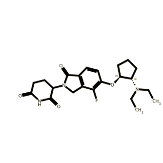 CCN(CC)[C@H]1CCC[C@@H]1Oc1ccc2c(c1F)CN(C1CCC(=O)NC1=O)C2=O